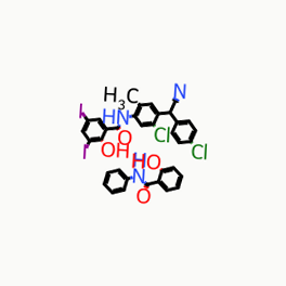 Cc1cc(C(C#N)c2ccc(Cl)cc2)c(Cl)cc1NC(=O)c1cc(I)cc(I)c1O.O=C(Nc1ccccc1)c1ccccc1O